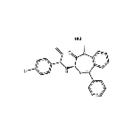 C=CC(N[C@@H]1N=C(c2ccccc2)c2ccccc2N(C)C1=O)c1ccc(Cl)cc1.Cl